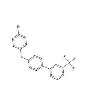 FC(F)(F)c1cccc(-c2ccc(Cc3ccc(Br)cc3)cc2)c1